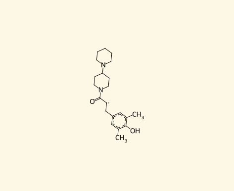 Cc1cc(C[CH]C(=O)N2CCC(N3CCCCC3)CC2)cc(C)c1O